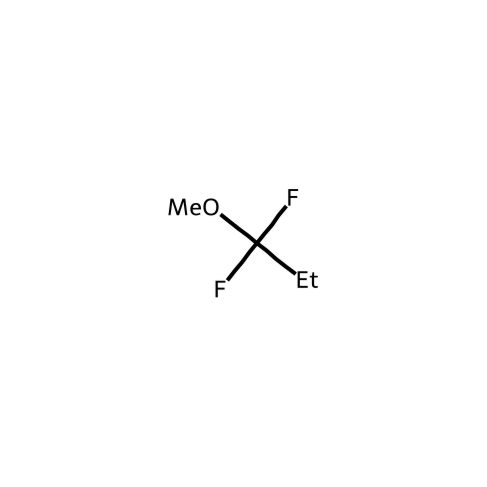 [CH2]OC(F)(F)CC